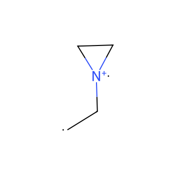 [CH2]C[N+]1CC1